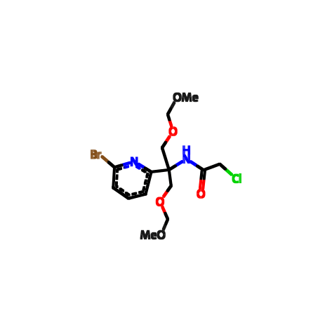 COCOCC(COCOC)(NC(=O)CCl)c1cccc(Br)n1